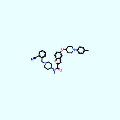 Cc1ccc(N2CCC(Oc3ccc4oc(C(=O)N(C)C5CCN(Cc6ccccc6C#N)CC5)cc4c3)CC2)cc1